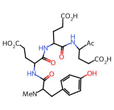 CNC(Cc1ccc(O)cc1)C(=O)NC(CCC(=O)O)C(=O)NC(CCC(=O)O)C(=O)NC(CCC(=O)O)C(C)=O